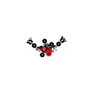 C[Si]1(CCCOc2ccc(N(CC3CO3)CC3CO3)cc2)O[Si](O)(c2ccccc2)O[Si]2(c3ccccc3)O[Si]3(c4ccccc4)O[SiH](c4ccccc4)O[Si]4(c5ccccc5)O[Si](c5ccccc5)(O1)O[Si](c1ccccc1)(O[Si](c1ccccc1)(O[Si](C)(CCCOc1ccc(N(CC5CO5)CC5CO5)cc1)O3)O4)O2